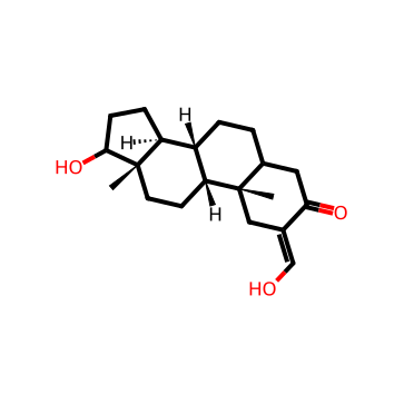 C[C@]12CC(=CO)C(=O)CC1CC[C@@H]1[C@H]2CC[C@]2(C)C(O)CC[C@@H]12